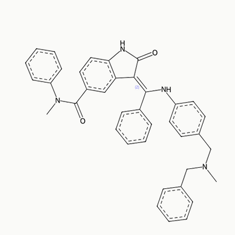 CN(Cc1ccccc1)Cc1ccc(N/C(=C2\C(=O)Nc3ccc(C(=O)N(C)c4ccccc4)cc32)c2ccccc2)cc1